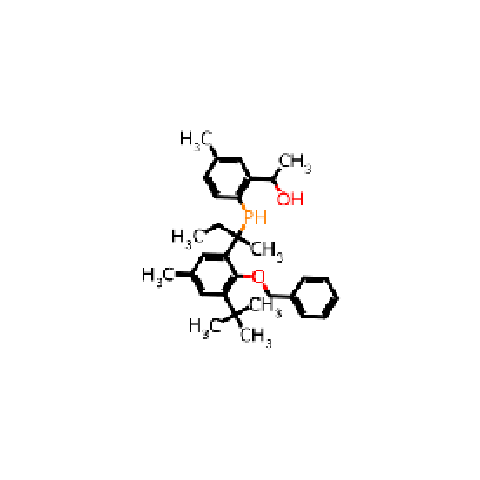 CCC(C)(Pc1ccc(C)cc1C(C)O)c1cc(C)cc(C(C)(C)C)c1OCc1ccccc1